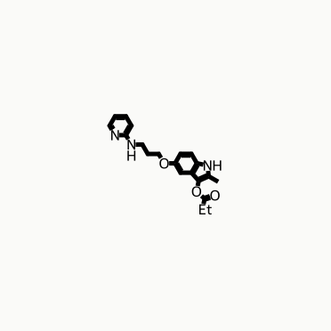 CCC(=O)Oc1c(C)[nH]c2ccc(OCCCNc3ccccn3)cc12